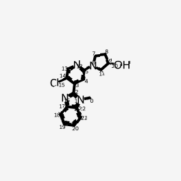 Cn1c(-c2cc(N3CC[C@@H](O)C3)ncc2Cl)nc2ccccc21